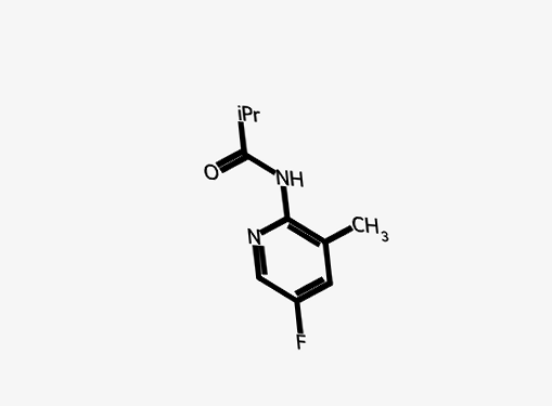 Cc1cc(F)cnc1NC(=O)C(C)C